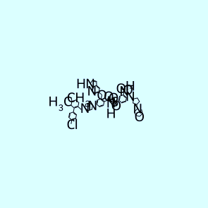 CC1(C)CCC(CN2CCN(c3ccc(C(=O)NS(=O)(=O)c4ccc(N[C@H]5CC[C@@H](N6CCOCC6)C5)c([N+](=O)[O-])c4)c(Oc4cnc5[nH]ccc5c4)c3)CC2)=C(c2ccc(Cl)cc2)C1